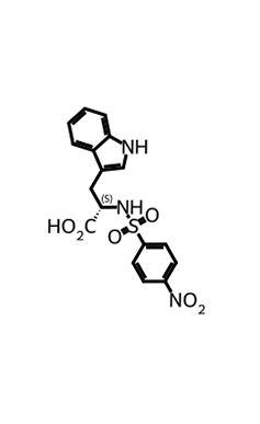 O=C(O)[C@H](Cc1c[nH]c2ccccc12)NS(=O)(=O)c1ccc([N+](=O)[O-])cc1